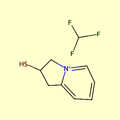 FC(F)F.SC1Cc2cccc[n+]2C1